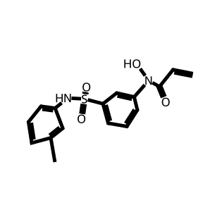 C=CC(=O)N(O)c1cccc(S(=O)(=O)Nc2cccc(C)c2)c1